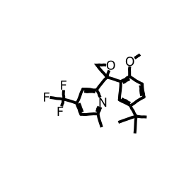 COc1ccc(C(C)(C)C)cc1C1(c2cc(C(F)(F)F)cc(C)n2)CO1